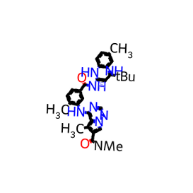 CNC(=O)c1cn2ncnc(Nc3cc(C(=O)N/C(=C/C(=N)C(C)(C)C)Nc4ccc(C)cc4)ccc3C)c2c1C